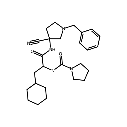 N#CC1(NC(=O)C(CC2CCCCC2)NC(=O)N2CCCC2)CCN(Cc2ccccc2)C1